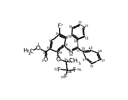 COC(=O)c1cc(F)cc(N=C(c2ccccc2)c2ccccc2)c1OC(C)C(F)(F)F